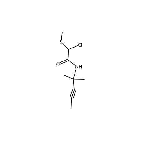 CC#CC(C)(C)NC(=O)C(Cl)SC